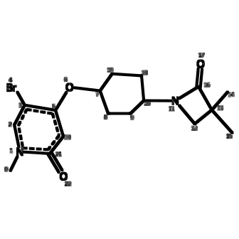 Cn1cc(Br)c(OC2CCC(N3CC(C)(C)C3=O)CC2)cc1=O